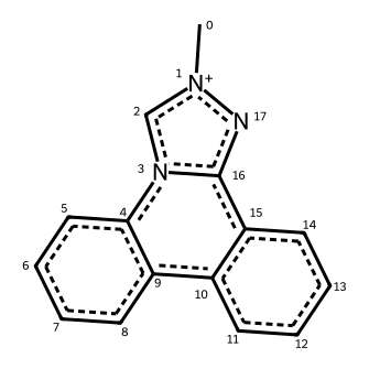 C[n+]1cn2c3ccccc3c3ccccc3c2n1